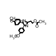 COc1ccc([C@H]2NC(CCOC(C)=O)=N[C@H]2c2ccc(OC)cc2)cc1